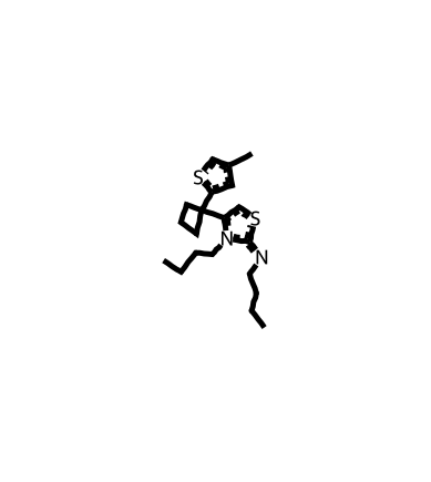 CCCCN=c1scc(C2(c3cc(C)cs3)CCC2)n1CCCC